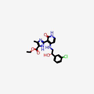 CCOC(=O)c1[nH]c(-c2c(NC[C@@H](O)c3cccc(Cl)c3)cc[nH]c2=O)nc1C